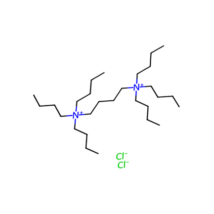 CCCC[N+](CCCC)(CCCC)CCCC[N+](CCCC)(CCCC)CCCC.[Cl-].[Cl-]